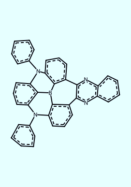 c1ccc(N2c3cccc4c3B3c5c(cccc5N(c5ccccc5)c5cccc2c53)-c2nc3ccccc3nc2-4)cc1